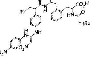 CC(C)CC(C(=O)NC(Cc1ccccc1CC(NC(=O)CC(C)(C)C)C(=O)O)C(=O)O)c1ccc(N/C(=C/[N+](=O)[O-])Nc2ccc([N+](=O)[O-])cc2)cc1